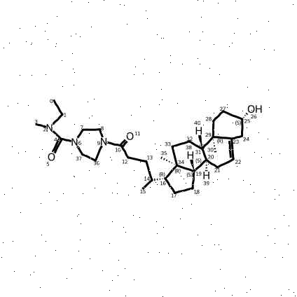 CCN(C)C(=O)N1CCN(C(=O)CCC(C)[C@H]2CC[C@H]3[C@@H]4CC=C5C[C@@H](O)CC[C@]5(C)[C@H]4CC[C@]23C)CC1